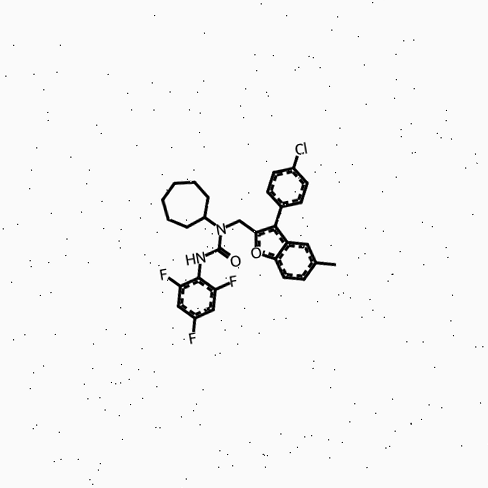 Cc1ccc2oc(CN(C(=O)Nc3c(F)cc(F)cc3F)C3CCCCCC3)c(-c3ccc(Cl)cc3)c2c1